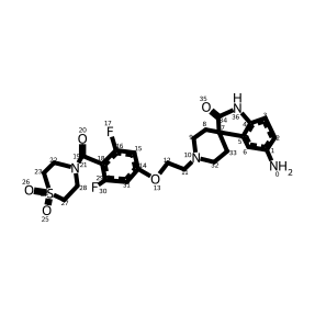 Nc1ccc2c(c1)C1(CCN(CCOc3cc(F)c(C(=O)N4CCS(=O)(=O)CC4)c(F)c3)CC1)C(=O)N2